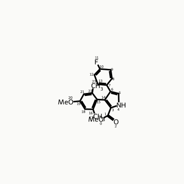 COC(=O)c1[nH]cc(-c2ccc(F)cc2)c1-c1c(C)cc(OC)cc1C